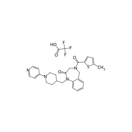 Cc1ccc(C(=O)N2CC(=O)N(CC3CCN(c4ccncc4)CC3)c3ccccc3C2)s1.O=C(O)C(F)(F)F